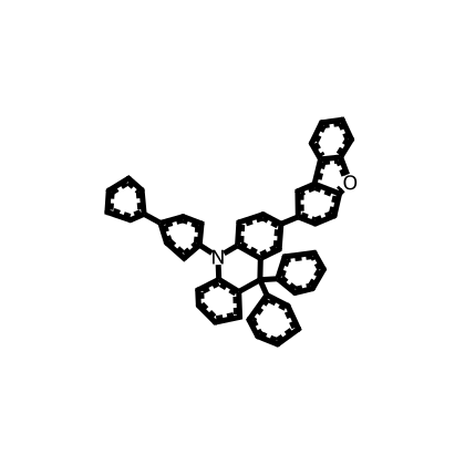 c1ccc(-c2ccc(N3c4ccccc4C(c4ccccc4)(c4ccccc4)c4cc(-c5ccc6oc7ccccc7c6c5)ccc43)cc2)cc1